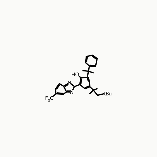 CC(C)(C)CC(C)(C)c1cc(C2N=c3ccc(C(F)(F)F)cc3=N2)c(O)c(C(C)(C)c2ccccc2)c1